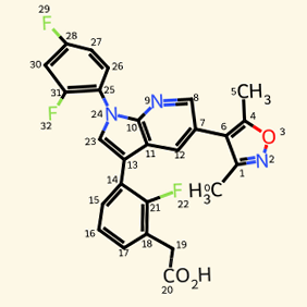 Cc1noc(C)c1-c1cnc2c(c1)c(-c1cccc(CC(=O)O)c1F)cn2-c1ccc(F)cc1F